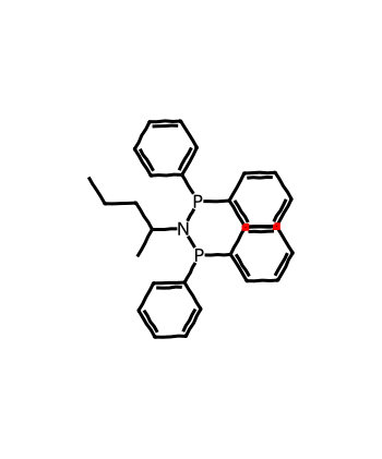 CCCC(C)N(P(c1ccccc1)c1ccccc1)P(c1ccccc1)c1ccccc1